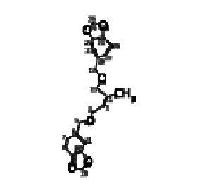 CC(=CCOCc1ccc2c(c1)OCO2)COCc1ccc2c(c1)OCO2